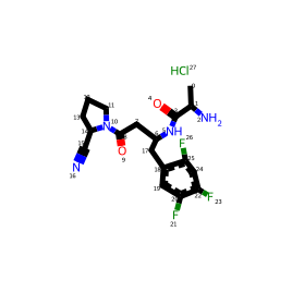 CC(N)C(=O)NC(CC(=O)N1CCCC1C#N)Cc1cc(F)c(F)cc1F.Cl